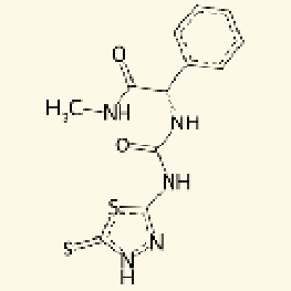 CNC(=O)[C@@H](NC(=O)Nc1n[nH]c(=S)s1)c1ccccc1